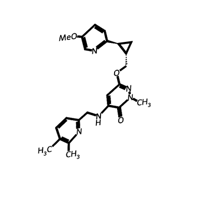 COc1ccc([C@H]2C[C@@H]2COc2cc(NCc3ccc(C)c(C)n3)c(=O)n(C)n2)nc1